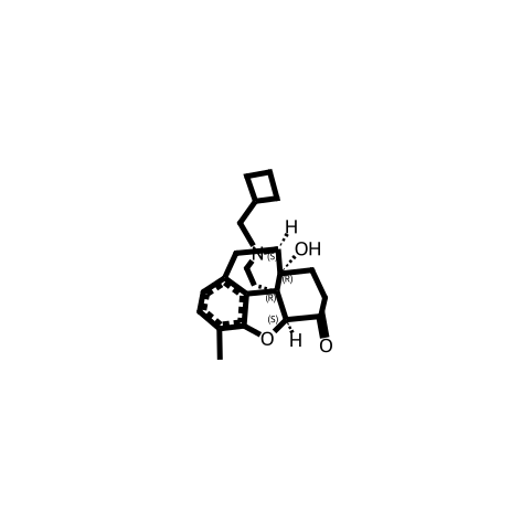 Cc1ccc2c3c1O[C@@H]1C(=O)CC[C@]4(O)[C@H](C2)N(CC2CCC2)CC[C@@]314